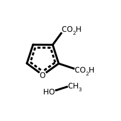 CO.O=C(O)c1ccoc1C(=O)O